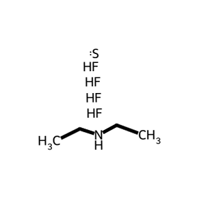 CCNCC.F.F.F.F.[S]